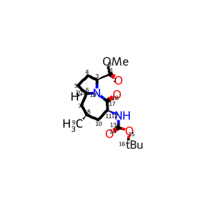 COC(=O)[C@@H]1CC[C@@H]2C[C@@H](C)C[C@H](NC(=O)OC(C)(C)C)C(=O)N21